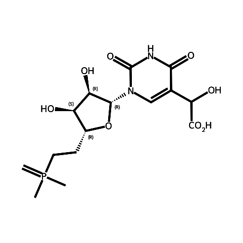 C=P(C)(C)CC[C@H]1O[C@@H](n2cc(C(O)C(=O)O)c(=O)[nH]c2=O)[C@H](O)[C@@H]1O